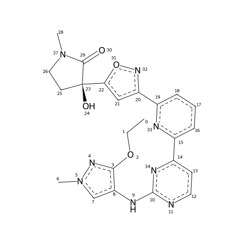 CCOc1nn(C)cc1Nc1nccc(-c2cccc(-c3cc([C@]4(O)CCN(C)C4=O)on3)n2)n1